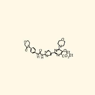 CCOC(=O)c1nc(-c2cnc(NC(=O)Nc3ccc(N4CCOCC4=O)cc3)nc2)nc(N2CCOCC2)c1OCC